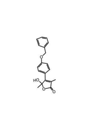 CC1=C(c2ccc(OCc3ccccc3)cc2)C(C)(O)OC1=O